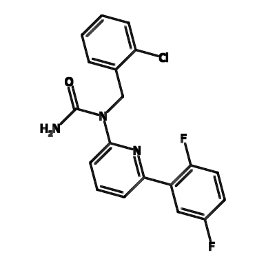 NC(=O)N(Cc1ccccc1Cl)c1cccc(-c2cc(F)ccc2F)n1